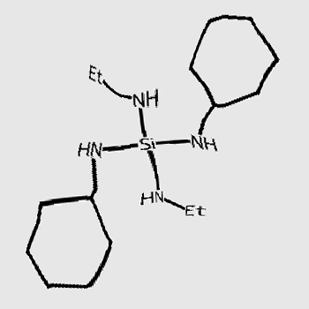 CCN[Si](NCC)(NC1CCCCC1)NC1CCCCC1